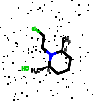 C[C@@H]1CCC[C@H](C)N1CCCl.Cl